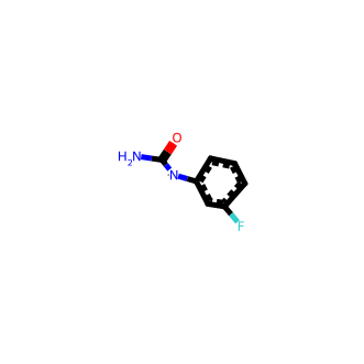 NC(=O)[N]c1cccc(F)c1